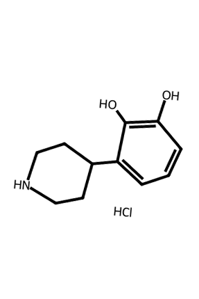 Cl.Oc1cccc(C2CCNCC2)c1O